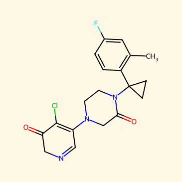 Cc1cc(F)ccc1C1(N2CCN(C3=C(Cl)C(=O)CN=C3)CC2=O)CC1